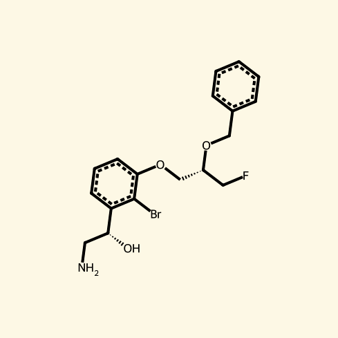 NC[C@@H](O)c1cccc(OC[C@@H](CF)OCc2ccccc2)c1Br